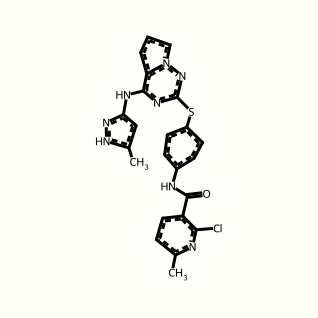 Cc1ccc(C(=O)Nc2ccc(Sc3nc(Nc4cc(C)[nH]n4)c4cccn4n3)cc2)c(Cl)n1